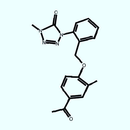 CC(=O)c1ccc(OCc2ccccc2-n2nnn(C)c2=O)c(C)c1